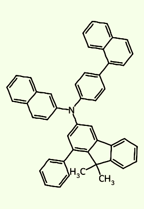 CC1(C)c2ccccc2-c2cc(N(c3ccc(-c4cccc5ccccc45)cc3)c3ccc4ccccc4c3)cc(-c3ccccc3)c21